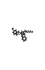 CNCc1cc(OCc2cc(F)ccc2F)n(CC2CCCCC2)n1